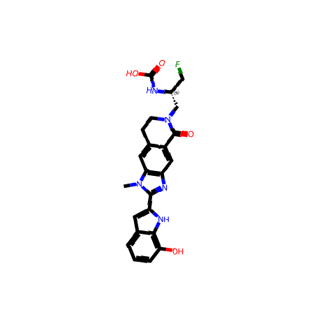 Cn1c(-c2cc3cccc(O)c3[nH]2)nc2cc3c(cc21)CCN(C[C@@H](CF)NC(=O)O)C3=O